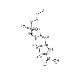 CCCCS(=O)(=O)Nc1ccc2[nH]c(C(=O)O)c(C)c2c1